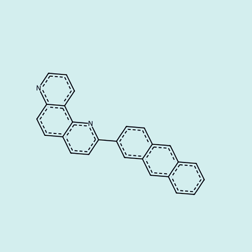 c1ccc2cc3cc(-c4ccc5ccc6ncccc6c5n4)ccc3cc2c1